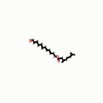 CC(C)=CCCC(C)CC(=O)OCCCCCCCCCCCC=O